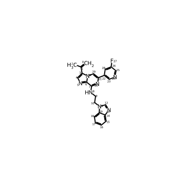 C=C(C)c1cnc2c(NCCn3cnc4ccccc43)nc(-c3cncc(F)c3)cn12